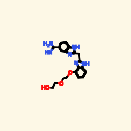 N=C(N)c1ccc2[nH]c(Cc3nc4c(OCCOCCO)cccc4[nH]3)nc2c1